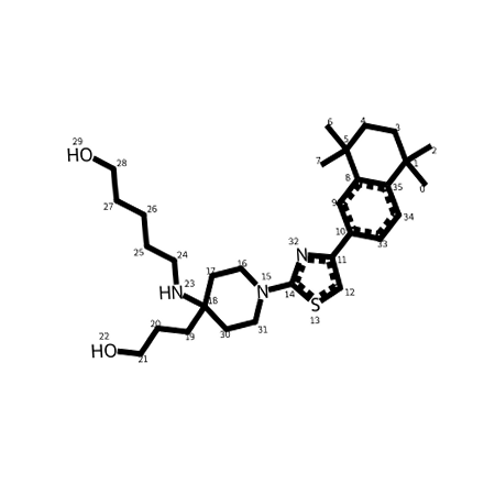 CC1(C)CCC(C)(C)c2cc(-c3csc(N4CCC(CCCO)(NCCCCCO)CC4)n3)ccc21